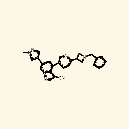 Cn1cc(-c2cc(-c3ccc(C4CN(Cc5ccccc5)C4)nc3)c3c(C#N)cnn3c2)cn1